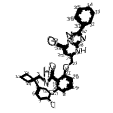 O=C(NCC1(C2=CC=C(Cl)CC2)CCC1)c1c(Cl)cccc1OCc1cc(=O)n2nc(-c3ccccc3)nc2[nH]1